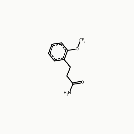 NC(=O)CCc1ccccc1OC(F)(F)F